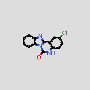 O=c1[nH]c2ccc(Cl)cc2c2nc3ccccc3n12